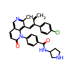 C=C/C(=C\c1c(C)ncc2ccc(=O)n(-c3ccc(C(=O)NC4CCNC4)cc3)c12)c1ccc(Cl)cc1